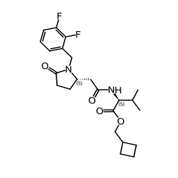 CC(C)[C@H](NC(=O)C[C@@H]1CCC(=O)N1Cc1cccc(F)c1F)C(=O)OCC1CCC1